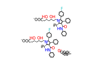 CC(C)c1c(C(=O)Nc2ccccc2)c(-c2ccccc2)c(-c2ccc(F)cc2)n1CC[C@@H](O)C[C@@H](O)CC(=O)[O-].CC(C)c1c(C(=O)Nc2ccccc2)c(-c2ccccc2)c(-c2ccc(F)cc2)n1CC[C@@H](O)C[C@@H](O)CC(=O)[O-].O=C([O-])[O-].[Ca+2].[Ca+2]